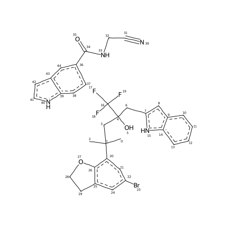 CC(C)(CC(O)(Cc1cc2ccccc2[nH]1)C(F)(F)F)c1cc(Br)cc2c1OCC2.N#CCNC(=O)c1ccc2[nH]ccc2c1